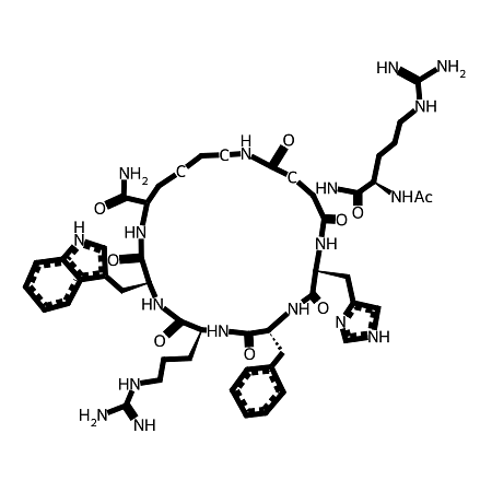 CC(=O)N[C@H](CCCNC(=N)N)C(=O)N[C@H]1CC(=O)NCCCCC(C(N)=O)NC(=O)[C@H](Cc2c[nH]c3ccccc23)NC(=O)[C@H](CCCNC(=N)N)NC(=O)[C@@H](Cc2ccccc2)NC(=O)[C@H](Cc2c[nH]cn2)NC1=O